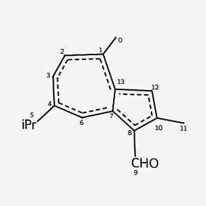 Cc1ccc(C(C)C)cc2c(C=O)c(C)cc1-2